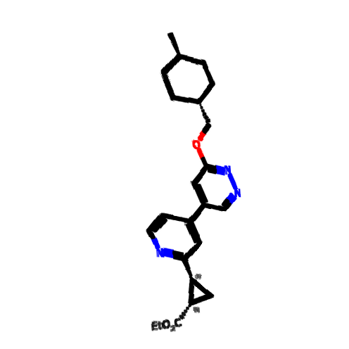 CCOC(=O)[C@H]1C[C@@H]1c1cc(-c2cnnc(OC[C@H]3CC[C@H](C)CC3)c2)ccn1